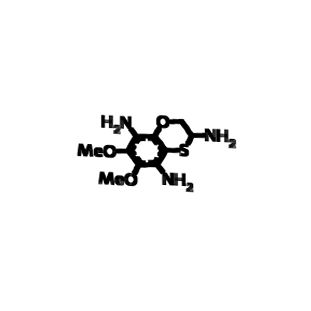 COc1c(N)c2c(c(N)c1OC)SC(N)CO2